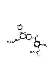 CCCO[C@@H]1C[C@H](c2cncs2)OC2(CCN(C(=O)c3ccc(OC(C)C)c(C)c3)CC2)C1